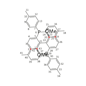 COc1cccc(P(c2ccc(C)cc2)c2ccc(C)cc2)c1-c1c(OC)cccc1P(c1ccc(C)cc1)c1ccc(C)cc1